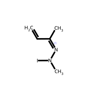 C=C/C(C)=N\N(C)I